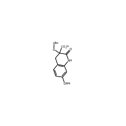 CCCCOC1(C(=O)O)Cc2ccc(OC)cc2NC1=O